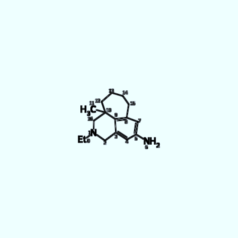 CCN1Cc2cc(N)cc3c2C(C)(CCCC3)C1